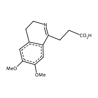 COc1cc2c(cc1OC)C(CCC(=O)O)=NCC2